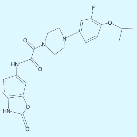 CC(C)Oc1ccc(N2CCN(C(=O)C(=O)Nc3ccc4[nH]c(=O)oc4c3)CC2)cc1F